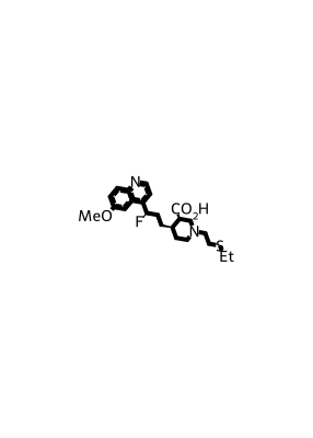 CCSCCN1CC[C@@H](CC[C@H](F)c2ccnc3ccc(OC)cc23)[C@@H](C(=O)O)C1